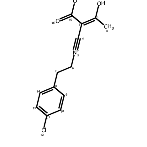 C/C(O)=C(\C#[N+]CCc1ccc(Cl)cc1)C(=O)[O-]